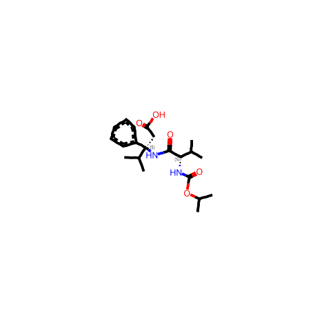 CC(C)OC(=O)N[C@H](C(=O)N[C@](CC(=O)O)(c1ccccc1)C(C)C)C(C)C